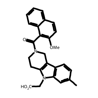 COc1ccc2ccccc2c1C(=O)N1CCc2c(c3ccc(C)cc3n2CC(=O)O)C1